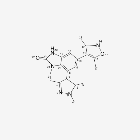 CC1=NN(C)C(C)C1c1cc(-c2c(C)noc2C)cc2[nH]c(=O)n(C)c12